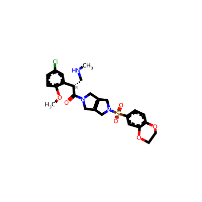 CNC[C@H](C(=O)N1CC2=C(C1)CN(S(=O)(=O)c1ccc3c(c1)OCCO3)C2)c1cc(Cl)ccc1OC